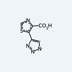 O=C(O)c1ncsc1C1=[C][N]N=N1